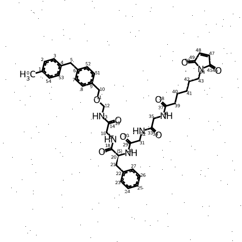 Cc1ccc(Cc2ccc(COCNC(=O)CNC(=O)[C@H](Cc3ccccc3)NC(=O)CNC(=O)CNC(=O)CCCCCN3C(=O)C=CC3=O)cc2)cc1